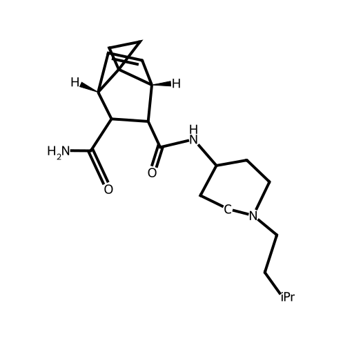 CC(C)CCN1CCC(NC(=O)C2C(C(N)=O)[C@@H]3C=C[C@H]2C32CC2)CC1